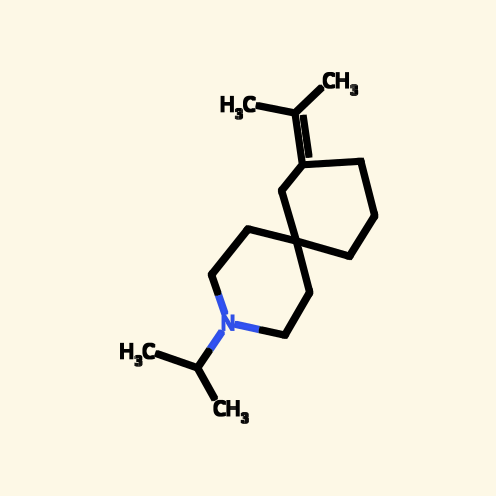 CC(C)=C1CCCC2(CCN(C(C)C)CC2)C1